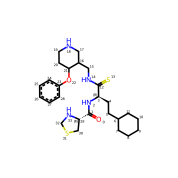 O=C(N[C@H](CCC1CCCCC1)C(=S)NCC1CNCCC1Oc1ccccc1)[C@@H]1CSCN1